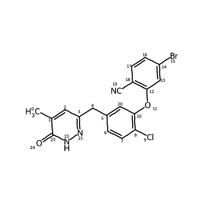 Cc1cc(Cc2ccc(Cl)c(Oc3cc(Br)ccc3C#N)c2)n[nH]c1=O